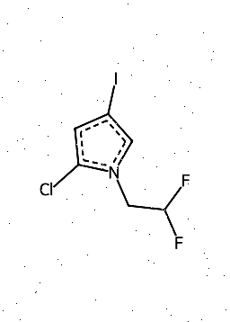 FC(F)Cn1cc(I)cc1Cl